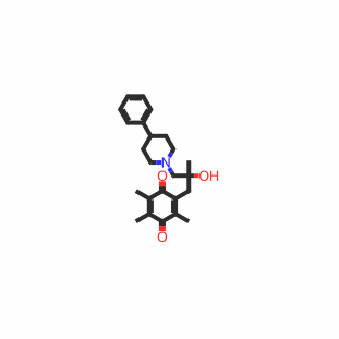 CC1=C(C)C(=O)C(CC(C)(O)CN2CCC(c3ccccc3)CC2)=C(C)C1=O